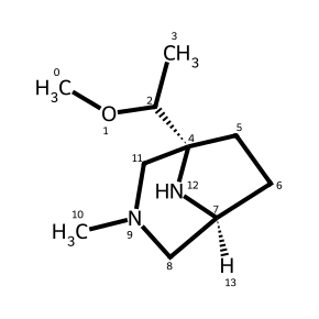 COC(C)[C@@]12CC[C@@H](CN(C)C1)N2